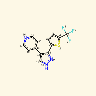 FC(F)(F)c1ccc(-c2n[nH]cc2-c2ccncc2)s1